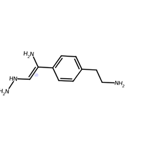 NCCc1ccc(/C(N)=C/NN)cc1